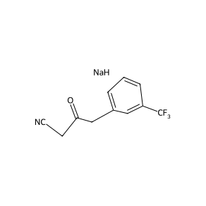 N#CCC(=O)Cc1cccc(C(F)(F)F)c1.[NaH]